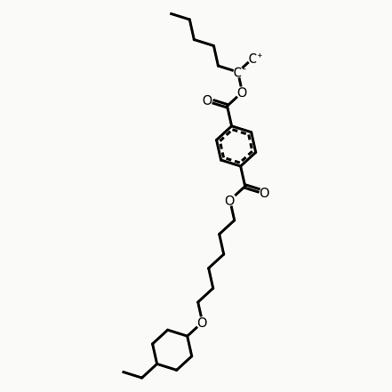 [CH2+][C-](CCCCC)OC(=O)c1ccc(C(=O)OCCCCCCOC2CCC(CC)CC2)cc1